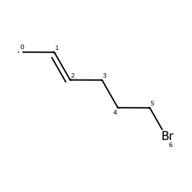 [CH2]/C=C/CCCBr